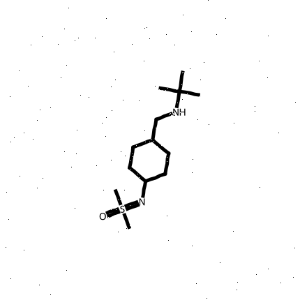 CC(C)(C)NCC1CCC(N=S(C)(C)=O)CC1